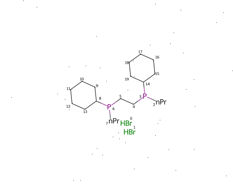 Br.Br.CCCP(CCP(CCC)C1CCCCC1)C1CCCCC1